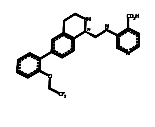 O=C(O)c1ccncc1NC[C@@H]1NCCc2cc(-c3ccccc3OCC(F)(F)F)ccc21